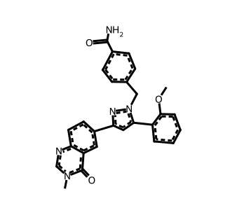 COc1ccccc1-c1cc(-c2ccc3ncn(C)c(=O)c3c2)nn1Cc1ccc(C(N)=O)cc1